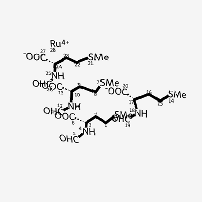 CSCC[C@H](NC=O)C(=O)[O-].CSCC[C@H](NC=O)C(=O)[O-].CSCC[C@H](NC=O)C(=O)[O-].CSCC[C@H](NC=O)C(=O)[O-].[Ru+4]